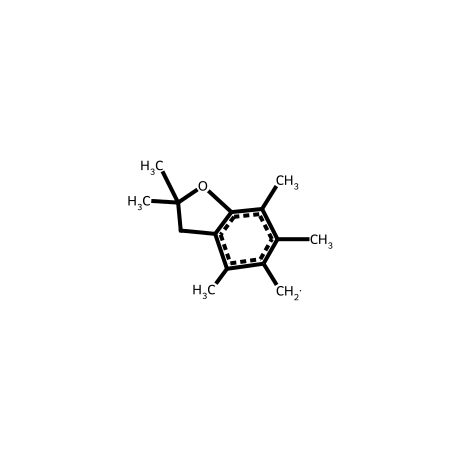 [CH2]c1c(C)c(C)c2c(c1C)CC(C)(C)O2